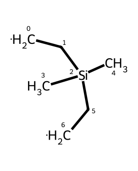 [CH2]C[Si](C)(C)C[CH2]